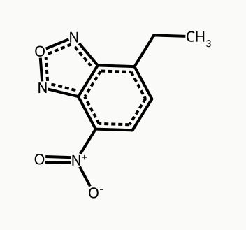 CCc1ccc([N+](=O)[O-])c2nonc12